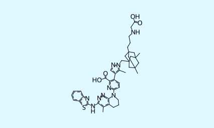 Cc1c(Nc2nc3ccccc3s2)nnc2c1CCCN2c1ccc(-c2cnn(CC34CC5(C)CC(C)(CC(CCCNCC(=O)O)(C5)C3)C4)c2C)c(C(=O)O)n1